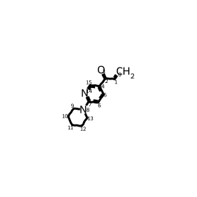 C=CC(=O)c1ccc(N2CCCCC2)nc1